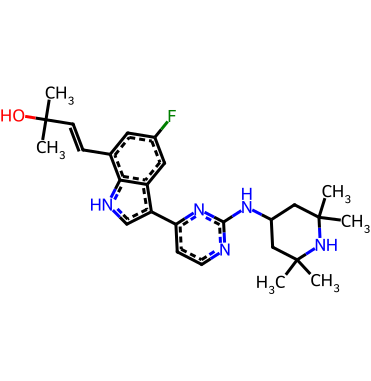 CC(C)(O)/C=C/c1cc(F)cc2c(-c3ccnc(NC4CC(C)(C)NC(C)(C)C4)n3)c[nH]c12